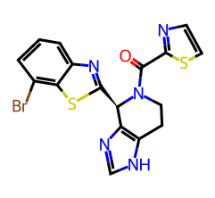 O=C(c1nccs1)N1CCc2[nH]cnc2[C@H]1c1nc2cccc(Br)c2s1